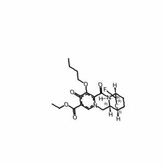 CCCCOc1c2n(cc(C(=O)OCC)c1=O)C[C@H]1[C@H]3CC[C@H]([C@H](F)C3)N1C2=O